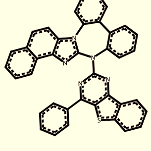 c1ccc(-c2nc(N3c4ccccc4-c4ccccc4-n4c3nc3c5ccccc5ccc34)nc3c2sc2ccccc23)cc1